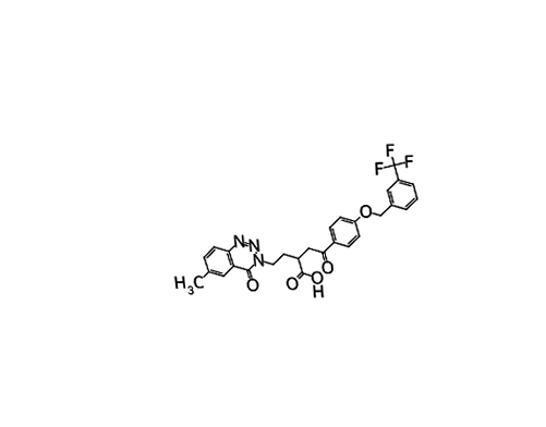 Cc1ccc2nnn(CCC(CC(=O)c3ccc(OCc4cccc(C(F)(F)F)c4)cc3)C(=O)O)c(=O)c2c1